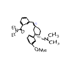 CCN(CC)C(=O)c1cccc(/C=C2/CC[C@H](CN(C)C)[C@@H](c3cccc(OC)c3)C2)c1